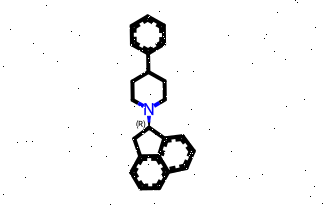 c1ccc(C2CCN([C@@H]3Cc4cccc5cccc3c45)CC2)cc1